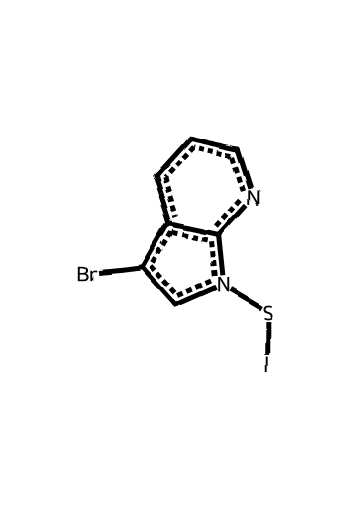 Brc1cn(SI)c2ncccc12